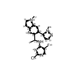 CC(Nc1nc(Cl)ncc1F)c1nc2ccn(C)c2cc1-c1ccnn1C